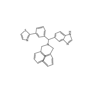 c1ccc(CN(Cc2ccccc2)C(c2cccc(-c3nccs3)c2)c2ccc3[nH]cnc3c2)cc1